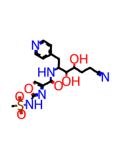 CS(=O)(=O)Nc1nc(C(=O)NC(Cc2ccncc2)C(O)C(O)CCC#N)co1